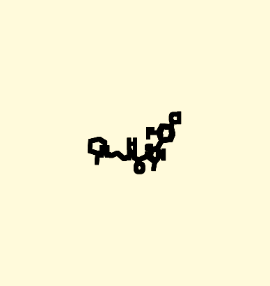 Cc1nc(-c2ccc(Cl)cc2F)sc1C(=O)NCCCN1CCCCC1C